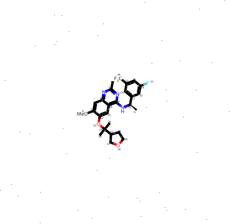 COc1cc2nc(C)nc(N[C@H](C)c3cc(F)cc(C(F)(F)F)c3)c2cc1OC(C)(C)C1CCOC1